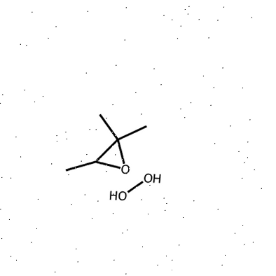 CC1OC1(C)C.OO